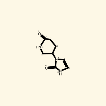 O=C1CCC(n2cc[nH]c2=O)CN1